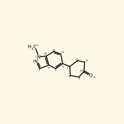 Cn1ncc2cc(C3CCC(=O)CC3)ccc21